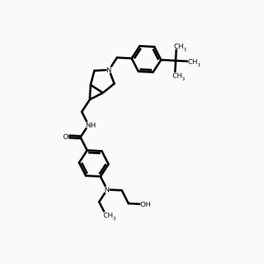 CCN(CCO)c1ccc(C(=O)NCC2C3CN(Cc4ccc(C(C)(C)C)cc4)CC23)cc1